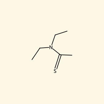 CCN(CC)C(C)=S